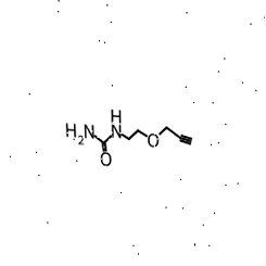 C#CCOCCNC(N)=O